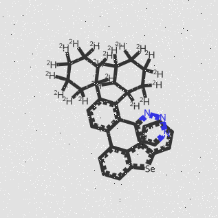 [2H]C1C([2H])([2H])C([2H])([2H])C([2H])([2H])C([2H])([2H])C1([2H])c1ccc(-c2cccc3[se]c4ccccc4c23)c(-c2ccnnn2)c1C1([2H])C([2H])C([2H])([2H])C([2H])([2H])C([2H])([2H])C1([2H])[2H]